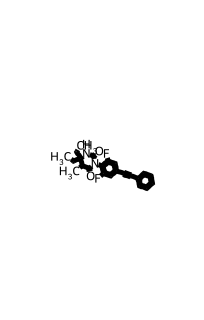 CCC1(CC)NC(=O)N(c2c(F)cc(C#Cc3ccccc3)cc2F)C(=O)C1C